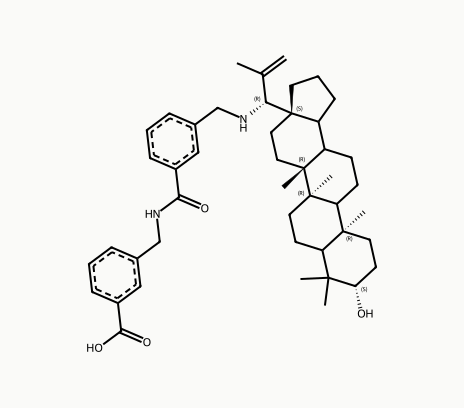 C=C(C)[C@@H](NCc1cccc(C(=O)NCc2cccc(C(=O)O)c2)c1)[C@]12CCCC1C1CCC3[C@@]4(C)CC[C@H](O)C(C)(C)C4CC[C@@]3(C)[C@]1(C)CC2